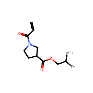 C=CC(=O)N1CCC(C(=O)OCC(CC)CCCC)C1